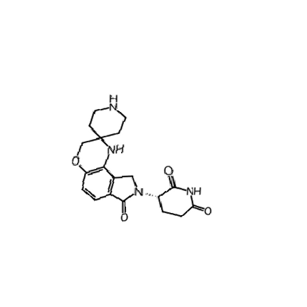 O=C1CC[C@H](N2Cc3c(ccc4c3NC3(CCNCC3)CO4)C2=O)C(=O)N1